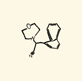 N#CC(c1cccc2ccccc12)N1CCOCC1